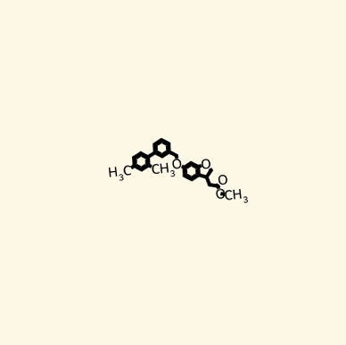 COC(=O)CC1COc2cc(OCc3cccc(-c4ccc(C)cc4C)c3)ccc21